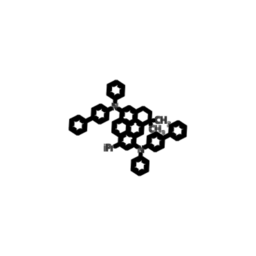 CC(C)c1cc(N(c2ccccc2)c2ccc(-c3ccccc3)cc2)c2cc3c4c(cc(N(c5ccccc5)c5ccc(-c6ccccc6)cc5)c5ccc1c2c54)CCC3(C)C